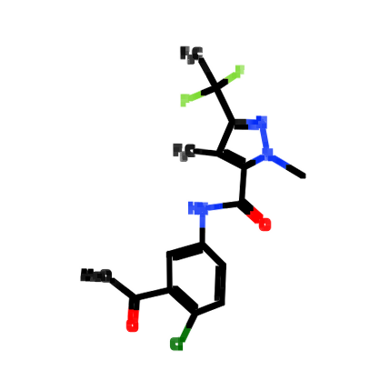 COC(=O)c1cc(NC(=O)c2c(C(F)(F)F)c(C(F)(F)C(F)(F)F)nn2C)ccc1Cl